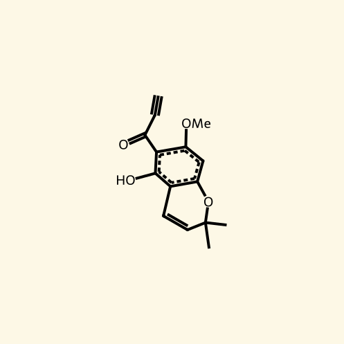 C#CC(=O)c1c(OC)cc2c(c1O)C=CC(C)(C)O2